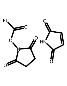 CCC(=O)ON1C(=O)CCC1=O.O=C1C=CC(=O)N1